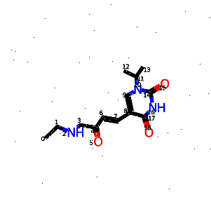 CCNCC(=O)/C=C/c1cn(C(C)C)c(=O)[nH]c1=O